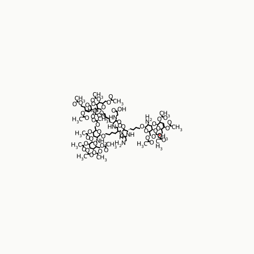 CC(=O)OCC1O[C@@H](OC2C(N)[C@@H](OCCCC[C@H](NC(=O)CN)C(=O)NC(CCCCO[C@H]3OC(COC(C)=O)[C@H](OC(C)=O)C(O[C@@H]4OC(COC(C)=O)[C@H](OC(C)=O)C(OC(C)=O)C4OC(C)=O)C3N)C(=O)N[C@@H](CCCCO[C@H]3OC(COC(C)=O)[C@H](OC(C)=O)C(O[C@@H]4OC(COC(C)=O)C(OC(C)=O)=CC4OC(C)=O)C3N)C(=O)NCC(=O)O)OC(COC(C)=O)[C@@H]2OC(C)=O)C(OC(C)=O)C=C1OC(C)=O